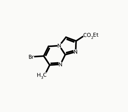 CCOC(=O)c1cn2cc(Br)c(C)nc2n1